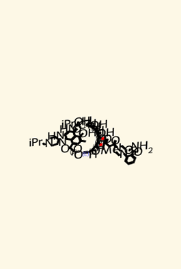 CO[C@H]1/C=C/O[C@@]2(C)Oc3c(C)c(O)c4c(c3C2=O)C2=NC3(CCN(CC(C)C)CC3)NC2=C(NC(O)(C(C)C)C[C@H](C)[C@H](O)[C@@H](C)[C@@H](O)[C@@H](C)[C@H](OC(=O)CC(=O)N2CCN(c3ccccc3S(N)(=O)=O)CC2)[C@@H]1C)C4=O